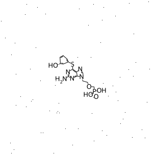 Nc1nc(Sc2cccc(O)c2)c2ncn(CCOCP(=O)(O)O)c2n1